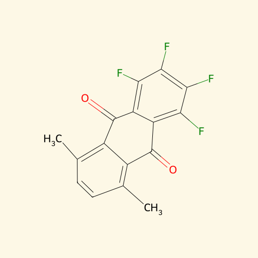 Cc1ccc(C)c2c1C(=O)c1c(F)c(F)c(F)c(F)c1C2=O